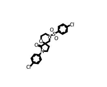 O=C1N(c2ccc(Cl)cc2)CCC12CN(S(=O)(=O)c1ccc(Cl)cc1)CCO2